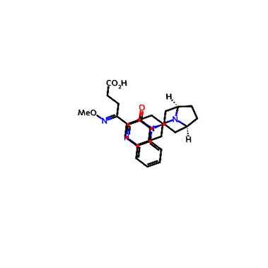 CON=C(CCC(=O)O)c1nc2ccccc2n([C@H]2C[C@H]3CC[C@@H](C2)N3C2CC3CCCC(C3)C2)c1=O